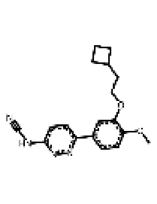 COc1ccc(-c2ccc(NC#N)nn2)cc1OCCC1CCC1